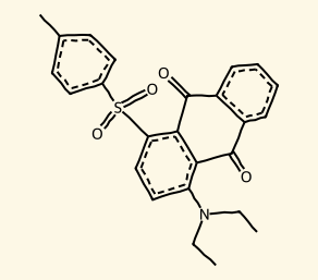 CCN(CC)c1ccc(S(=O)(=O)c2ccc(C)cc2)c2c1C(=O)c1ccccc1C2=O